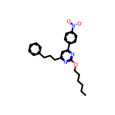 CCCCCCOc1nc(CCCc2ccccc2)cc(-c2ccc([N+](=O)[O-])cc2)n1